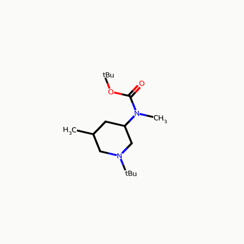 CC1CC(N(C)C(=O)OC(C)(C)C)CN(C(C)(C)C)C1